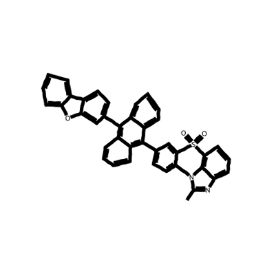 Cc1nc2cccc3c2n1-c1ccc(-c2c4ccccc4c(-c4ccc5c(c4)oc4ccccc45)c4ccccc24)cc1S3(=O)=O